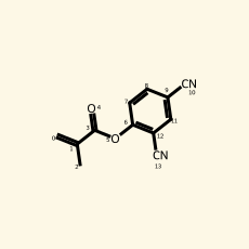 C=C(C)C(=O)Oc1ccc(C#N)cc1C#N